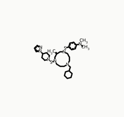 C=C1CN(Sc2ccc(N(C)C)cc2)CCCN(CC2CCCCC2)CCCN(SN2CCC(n3cccn3)CC2)C1